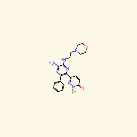 CC(C)n1nc(-c2nc(NCCN3CCOCC3)c(N)nc2-c2ccccc2)ccc1=O